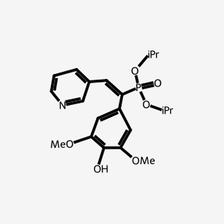 COc1cc(/C(=C\c2cccnc2)P(=O)(OC(C)C)OC(C)C)cc(OC)c1O